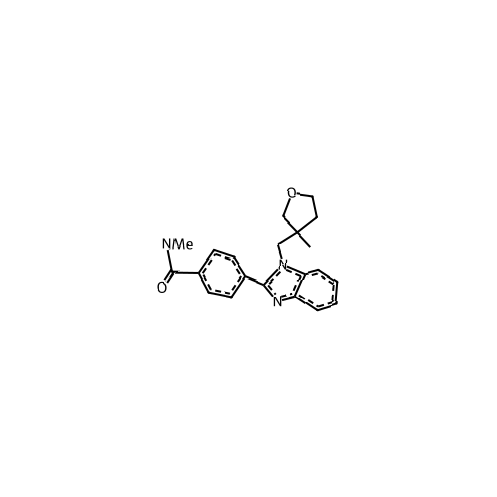 CNC(=O)c1ccc(-c2nc3ccccc3n2CC2(C)CCOC2)cc1